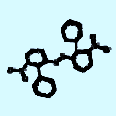 O=[N+]([O-])c1cccc(SSc2cccc([N+](=O)[O-])c2-c2ccccc2)c1-c1ccccc1